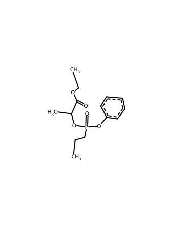 CCCP(=O)(Oc1ccccc1)OC(C)C(=O)OCC